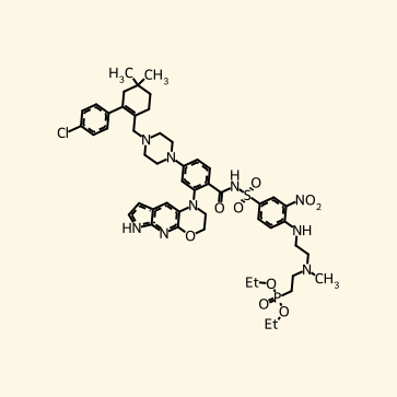 CCOP(=O)(CCN(C)CCNc1ccc(S(=O)(=O)NC(=O)c2ccc(N3CCN(CC4=C(c5ccc(Cl)cc5)CC(C)(C)CC4)CC3)cc2N2CCOc3nc4[nH]ccc4cc32)cc1[N+](=O)[O-])OCC